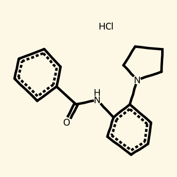 Cl.O=C(Nc1ccccc1N1CCCC1)c1ccccc1